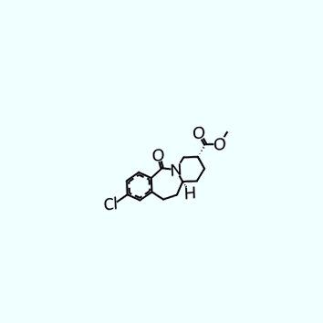 COC(=O)[C@@H]1CC[C@H]2CCc3cc(Cl)ccc3C(=O)N2C1